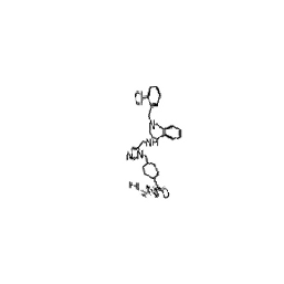 NC(=O)C1CCC(Cn2cncc2CN[C@H]2Cc3ccccc3CN(Cc3ccccc3Cl)C2)CC1